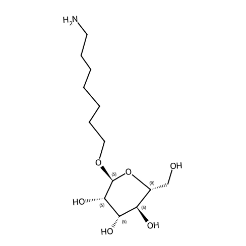 NCCCCCCCO[C@H]1O[C@H](CO)[C@@H](O)[C@H](O)[C@@H]1O